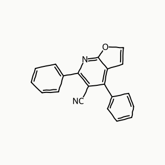 N#Cc1c(-c2ccccc2)nc2occc2c1-c1ccccc1